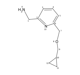 NCc1cccc(COCC2CC2)n1